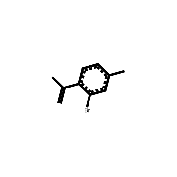 C=C(C)c1ccc(C)cc1Br